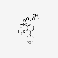 COC(=O)c1ccc(N2CCOCC2)c(C)c1[N+](=O)[O-]